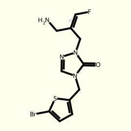 NC/C(=C/F)Cn1ncn(Cc2ccc(Br)s2)c1=O